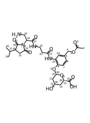 CC(=O)OCc1ccc(O[C@@H]2C[C@H](O)C[C@H](C(=O)O)O2)c(NC(=O)CCNC(=O)C(CN)N2C(=O)CC(C(C)C)C2=O)c1